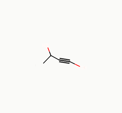 CC(O)C#CO